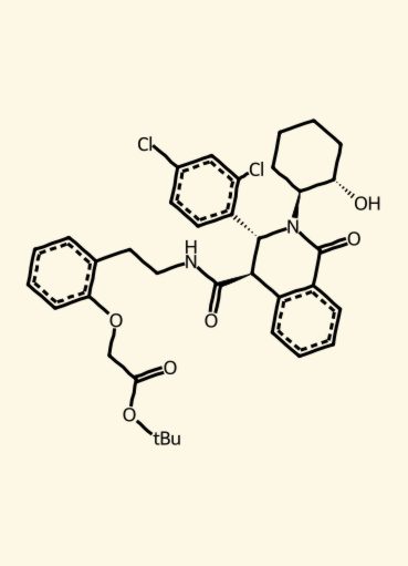 CC(C)(C)OC(=O)COc1ccccc1CCNC(=O)[C@@H]1c2ccccc2C(=O)N([C@H]2CCCC[C@@H]2O)[C@H]1c1ccc(Cl)cc1Cl